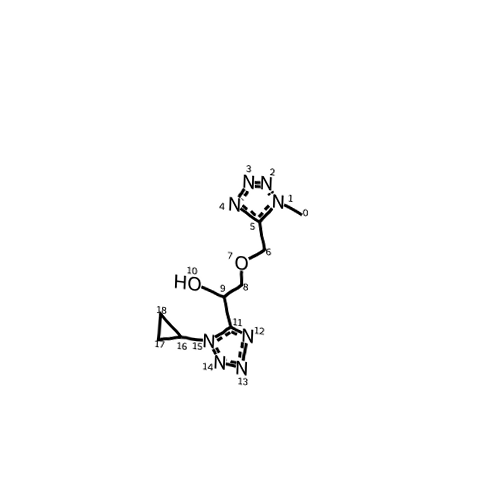 Cn1nnnc1COCC(O)c1nnnn1C1CC1